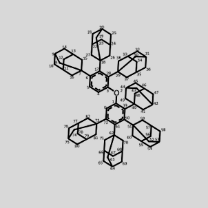 [c]1c(Oc2ccc(C34CC5CC(CC(C5)C3)C4)c(C34CC5CC(CC(C5)C3)C4)c2C23CC4CC(CC(C4)C2)C3)c(C23CC4CC(CC(C4)C2)C3)c(C23CC4CC(CC(C4)C2)C3)c(C23CC4CC(CC(C4)C2)C3)c1C12CC3CC(CC(C3)C1)C2